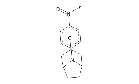 O=[N+]([O-])c1ccc(N2C3CCC2CC(O)C3)cc1